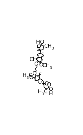 COc1cc2c(c(F)c1OCCCOc1c(OC)cc3sc(C(=O)CC(C)C(=O)O)cc3c1Cl)CN(C(=O)CC(C)C(=O)O)C2